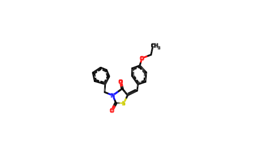 CCOc1ccc(C=C2SC(=O)N(Cc3ccccc3)C2=O)cc1